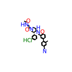 COc1ccc(-c2ccc(C#N)cc2C)cc1CN[C@H]1CCN(C(=O)CNC(C)=O)C[C@H]1c1ccccc1.Cl